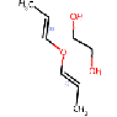 C/C=C/O/C=C/C.OCCO